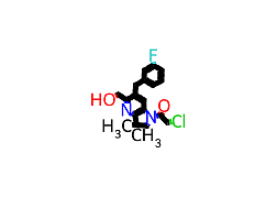 CC1(C)CN(C(=O)CCl)c2cc(Cc3cccc(F)c3)c(CO)nc21